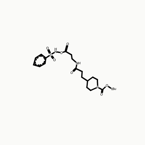 CC(C)(C)OC(=O)N1CCC(CCC(=O)NCCC(=O)ONS(=O)(=O)c2ccccc2)CC1